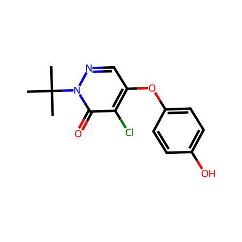 CC(C)(C)n1ncc(Oc2ccc(O)cc2)c(Cl)c1=O